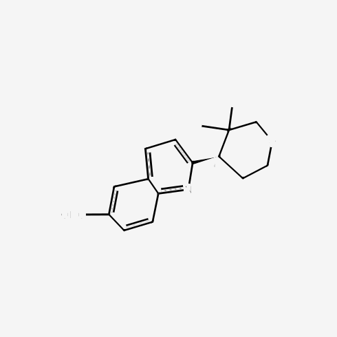 CC1(C)COCC[C@H]1c1ccc2cc(C=O)ccc2n1